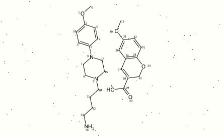 COc1ccc(N2CCN(CCCCN)CC2)cc1.COc1ccc2c(c1)C=C(C(=O)O)CO2